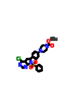 CC(C)(C)OC(=O)N1CCN(c2ccc(-c3cc4c(Cl)ncnc4n3S(=O)(=O)c3ccccc3)cc2)CC1